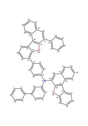 c1ccc(-c2cccc(N(c3ccc(-c4cccc5c4oc4c(-c6ccccc6)cc6ccccc6c45)cc3)c3cc4ccccc4c4c3oc3ccccc34)c2)cc1